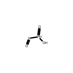 O=N[PH](=O)O